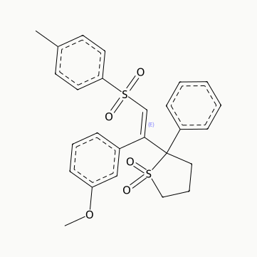 COc1cccc(/C(=C\S(=O)(=O)c2ccc(C)cc2)C2(c3ccccc3)CCCS2(=O)=O)c1